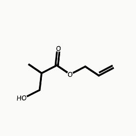 C=CCOC(=O)C(C)CO